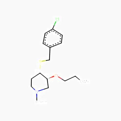 CCCCCN1CC[C@H](SCc2ccc(Cl)cc2)[C@@H](OCCOC)C1